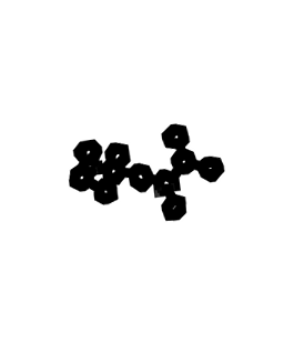 c1ccc(-c2cc(-c3ccccc3)cc(-c3cc(-c4ccc(-c5ccc(-n6c7ccccc7c7cccc(-c8ccccc8)c76)c6ccccc56)cc4)nc(-c4ccccc4)n3)c2)cc1